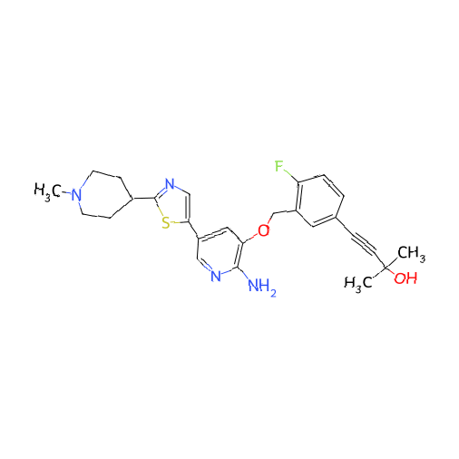 CN1CCC(c2ncc(-c3cnc(N)c(OCc4cc(C#CC(C)(C)O)ccc4F)c3)s2)CC1